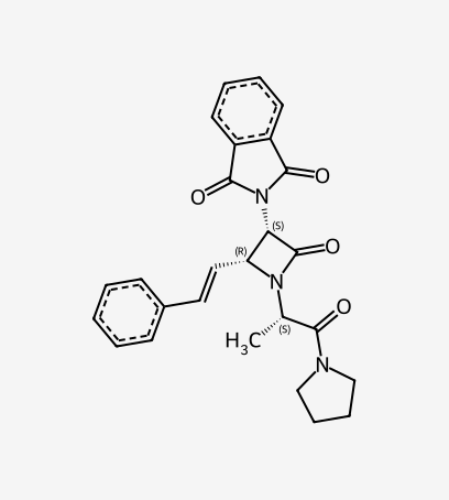 C[C@@H](C(=O)N1CCCC1)N1C(=O)[C@@H](N2C(=O)c3ccccc3C2=O)[C@H]1C=Cc1ccccc1